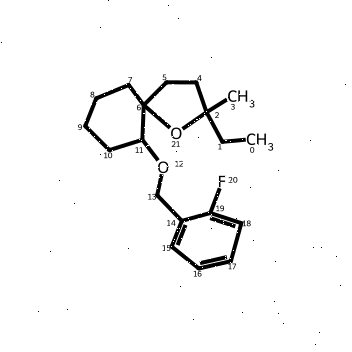 CCC1(C)CCC2(CCCCC2OCc2ccccc2F)O1